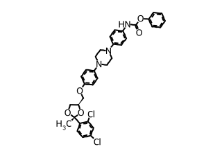 C[C@@]1(c2ccc(Cl)cc2Cl)OC[C@@H](COc2ccc(N3CCN(c4ccc(NC(=O)Oc5ccccc5)cc4)CC3)cc2)O1